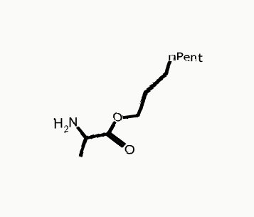 CCCCCCCCOC(=O)C(C)N